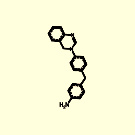 Nc1ccc(Cc2ccc(N3C=Nc4ccccc4C3)cc2)cc1